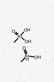 C[AsH](=O)O.C[As](=O)(O)O